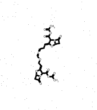 CC(=O)OC(=O)C1/C(=C/CC=C=COC/C=C2\OC3CC(=O)N3C2C(=O)OC(C)=O)OC2CC(=O)N21